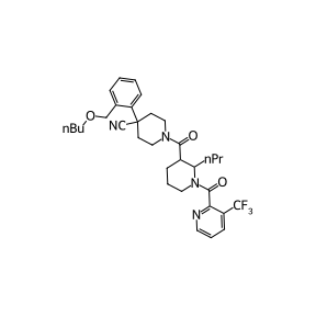 CCCCOCc1ccccc1C1(C#N)CCN(C(=O)C2CCCN(C(=O)c3ncccc3C(F)(F)F)C2CCC)CC1